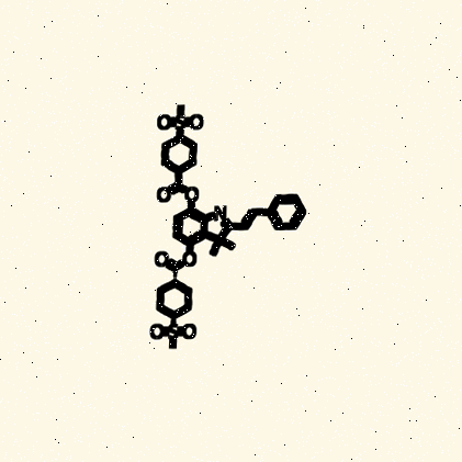 CC1(C)C(/C=C/c2ccccc2)=Nc2c(OC(=O)C3CCC(S(C)(=O)=O)CC3)ccc(OC(=O)[C@H]3CC[C@H](S(C)(=O)=O)CC3)c21